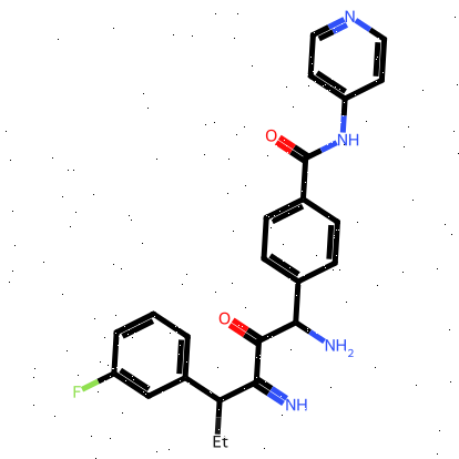 CCC(C(=N)C(=O)C(N)c1ccc(C(=O)Nc2ccncc2)cc1)c1cccc(F)c1